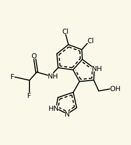 O=C(Nc1cc(Cl)c(Cl)c2[nH]c(CO)c(-c3cn[nH]c3)c12)C(F)F